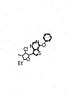 CC[C@H]1OC(c2csc3c(Oc4ccccc4)ncnc23)[C@H](Cl)[C@@H]1C